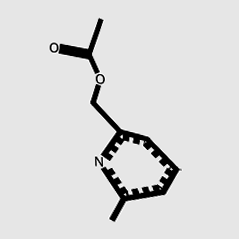 CC(=O)OCc1c[c]cc(C)n1